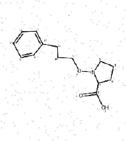 O=C(O)C1CCCN1OCCCc1ccccc1